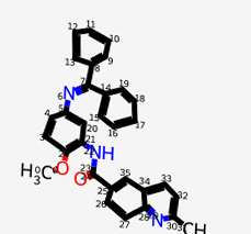 COc1ccc(N=C(c2ccccc2)c2ccccc2)cc1NC(=O)c1ccc2nc(C)ccc2c1